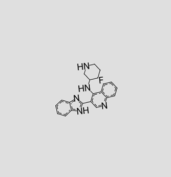 Fc1cccc2ncc(-c3nc4ccccc4[nH]3)c(NC3CCCNC3)c12